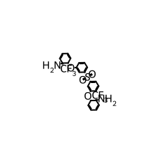 NC1(C(F)(F)F)C=CC=CC1Oc1cccc(S(=O)(=O)c2cccc(OC3C=CC=CC3(N)C(F)(F)F)c2)c1